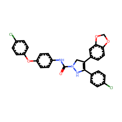 O=C(Nc1ccc(Oc2ccc(Cl)cc2)cc1)N1CC(c2ccc3c(c2)OCO3)=C(c2ccc(Cl)cc2)N1